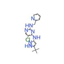 CC(C)(C)c1cc(Nc2nc(NCc3ccccn3)ncc2Cl)n[nH]1